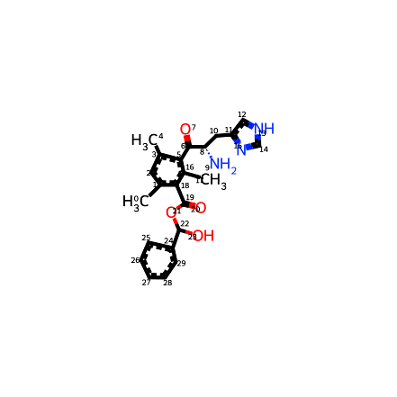 Cc1cc(C)c(C(=O)[C@@H](N)Cc2c[nH]cn2)c(C)c1C(=O)OC(O)c1ccccc1